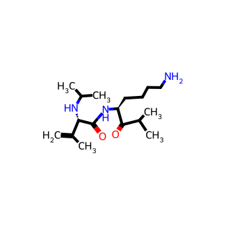 C=C(C)[C@H](NC(C)C)C(=O)N[C@@H](CCCCN)C(=O)C(C)C